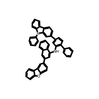 c1ccc(-c2ccc(-c3ccc4c5ccccc5n(-c5ccccc5)c4c3)cc2Nc2cc(-c3ccc4oc5ccccc5c4c3)cc3ccccc23)cc1